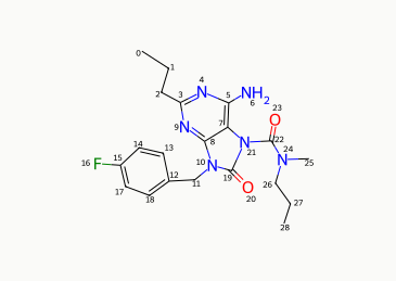 CCCc1nc(N)c2c(n1)n(Cc1ccc(F)cc1)c(=O)n2C(=O)N(C)CCC